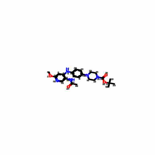 COc1cc(Nc2ccc(N3CCN(C(=O)OC(C)(C)C)CC3)cc2)c(NC(C)=O)cn1